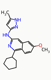 COc1ccc2c(C3CCCCC3)nc(Nc3cc(C)[nH]n3)cc2c1